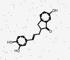 O=C1c2cc(O)ccc2CC1C/C=C/c1ccc(O)c(O)c1